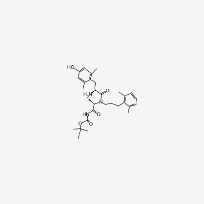 Cc1cccc(C)c1CCCN(C(=O)[C@@H](N)Cc1c(C)cc(O)cc1C)[C@H](C)C(=O)NC(=O)OC(C)(C)C